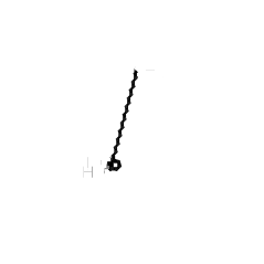 CCCCCCCCCCCCCCCCCCCCCCc1cccc(C)c1O